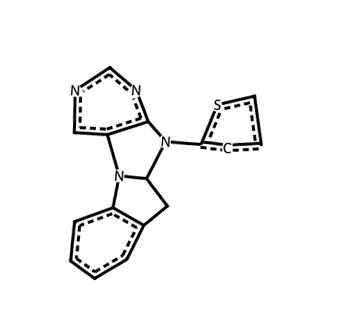 c1csc(N2c3ncncc3N3c4ccccc4CC32)c1